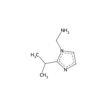 CC(C)c1nccn1CN